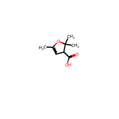 CC1=CC(C(=O)O)C(C)(C)O1